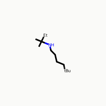 CCC(C)(C)NCCCCC(C)(C)C